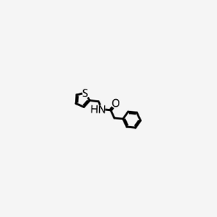 O=C(Cc1ccccc1)NCc1cccs1